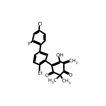 C=C1C(=O)C(C)(C)C(=O)C(c2cc(-c3ccc(Cl)cc3F)ccc2CC)=C1O